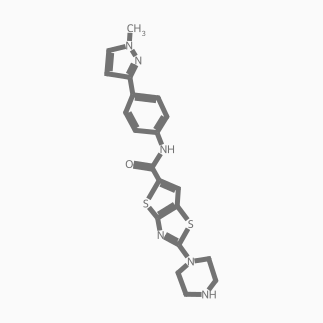 Cn1ccc(-c2ccc(NC(=O)c3cc4sc(N5CCNCC5)nc4s3)cc2)n1